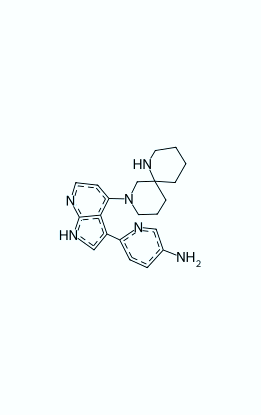 Nc1ccc(-c2c[nH]c3nccc(N4CCCC5(CCCCN5)C4)c23)nc1